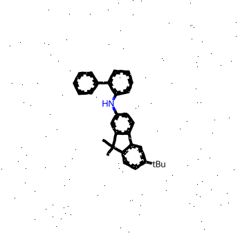 CC(C)(C)c1ccc2c(c1)-c1ccc(Nc3ccccc3-c3ccccc3)cc1C2(C)C